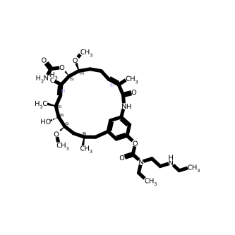 CCNCCN(CC)C(=O)Oc1cc2cc(c1)NC(=O)/C(C)=C/CC[C@H](OC)[C@@H](OC(N)=O)/C(C)=C/[C@H](C)[C@@H](O)[C@@H](OC)C[C@H](C)C2